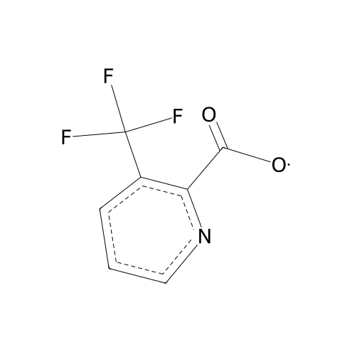 [O]C(=O)c1ncccc1C(F)(F)F